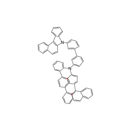 c1ccc(-c2ccc(-c3ccccc3N(c3ccc(-c4cccc5ccccc45)cc3)c3cccc(-c4cccc(-n5c6ccccc6c6c7ccccc7ccc65)c4)c3)cc2)cc1